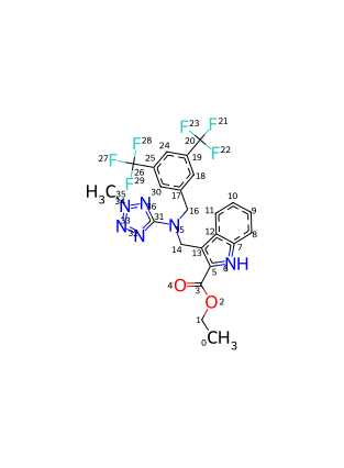 CCOC(=O)c1[nH]c2ccccc2c1CN(Cc1cc(C(F)(F)F)cc(C(F)(F)F)c1)c1nnn(C)n1